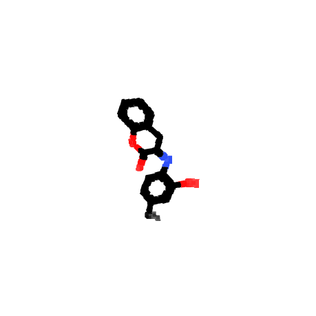 Cc1ccc(N=C2Cc3ccccc3OC2=O)c(O)c1